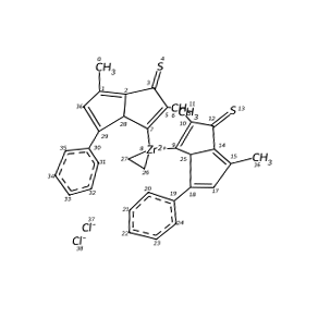 CC1=C2C(=S)C(C)=[C]([Zr+2]3([C]4=C(C)C(=S)C5=C(C)C=C(c6ccccc6)C54)[CH2][CH2]3)C2C(c2ccccc2)=C1.[Cl-].[Cl-]